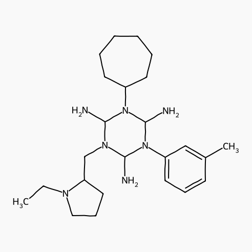 CCN1CCCC1CN1C(N)N(c2cccc(C)c2)C(N)N(C2CCCCCC2)C1N